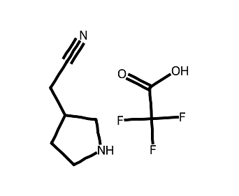 N#CCC1CCNC1.O=C(O)C(F)(F)F